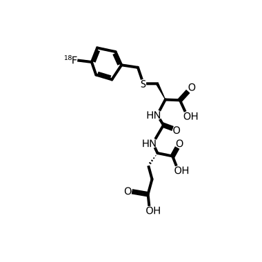 O=C(O)CC[C@H](NC(=O)N[C@@H](CSCc1ccc([18F])cc1)C(=O)O)C(=O)O